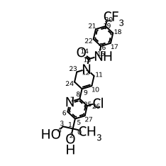 CC(O)(CO)c1cnc(C2=CCN(C(=O)Nc3ccc(C(F)(F)F)cc3)CC2)c(Cl)c1